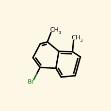 Cc1cccc2c(Br)ccc(C)c12